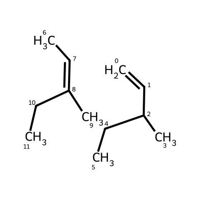 C=CC(C)CC.CC=C(C)CC